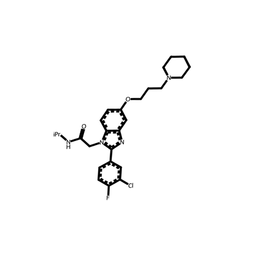 CC(C)NC(=O)Cn1c(-c2ccc(F)c(Cl)c2)nc2cc(OCCCN3CCCCC3)ccc21